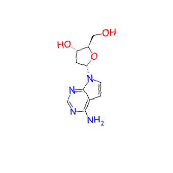 Nc1ncnc2c1ccn2[C@@H]1C[C@H](O)[C@@H](CO)O1